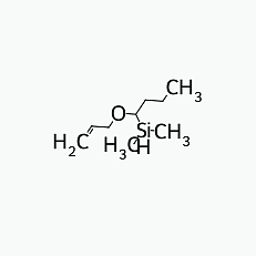 C=CCOC(CCC)[SiH](C)C